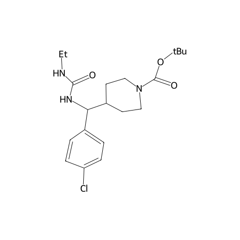 CCNC(=O)NC(c1ccc(Cl)cc1)C1CCN(C(=O)OC(C)(C)C)CC1